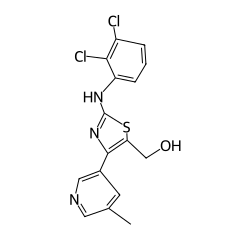 Cc1cncc(-c2nc(Nc3cccc(Cl)c3Cl)sc2CO)c1